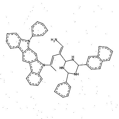 C/C(=C\C(=C/N)C1NC(c2ccccc2)NC(c2ccc3ccccc3c2)N1)n1c2ccccc2c2cc3c4ccccc4n(-c4ccccc4)c3cc21